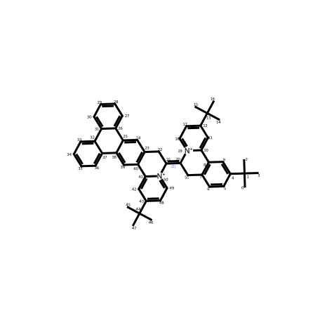 CC(C)(C)c1ccc2c(c1)-c1cc(C(C)(C)C)cc[n+]1/C(=C1\Cc3cc4c5ccccc5c5ccccc5c4cc3-c3cc(C(C)(C)C)cc[n+]31)C2